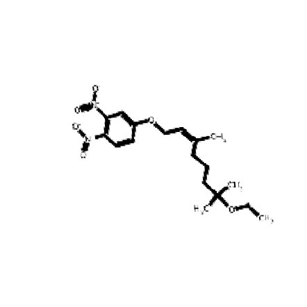 CCOC(C)(C)CCCC(C)=CCOc1ccc([N+](=O)[O-])c([N+](=O)[O-])c1